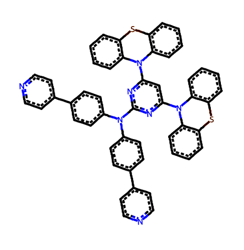 c1ccc2c(c1)Sc1ccccc1N2c1cc(N2c3ccccc3Sc3ccccc32)nc(N(c2ccc(-c3ccncc3)cc2)c2ccc(-c3ccncc3)cc2)n1